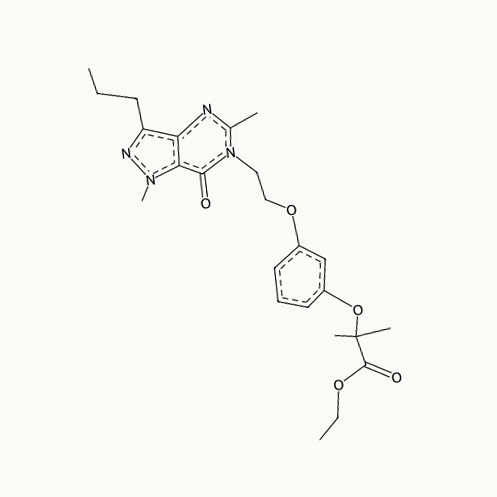 CCCc1nn(C)c2c(=O)n(CCOc3cccc(OC(C)(C)C(=O)OCC)c3)c(C)nc12